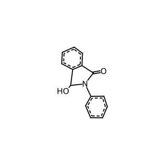 O=C1c2ccccc2C(O)N1c1ccccc1